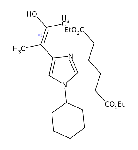 C/C(O)=C(/C)c1cn(C2CCCCC2)cn1.CCOC(=O)CCCCC(=O)OCC